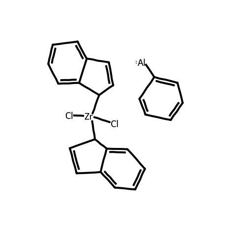 [Al][c]1ccccc1.[Cl][Zr]([Cl])([CH]1C=Cc2ccccc21)[CH]1C=Cc2ccccc21